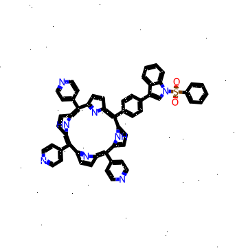 O=S(=O)(c1ccccc1)n1cc(-c2ccc(-c3c4nc(c(-c5ccncc5)c5ccc([nH]5)c(-c5ccncc5)c5nc(c(-c6ccncc6)c6ccc3[nH]6)C=C5)C=C4)cc2)c2ccccc21